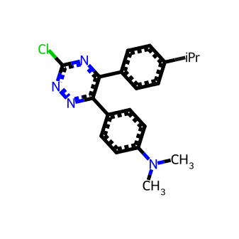 CC(C)c1ccc(-c2nc(Cl)nnc2-c2ccc(N(C)C)cc2)cc1